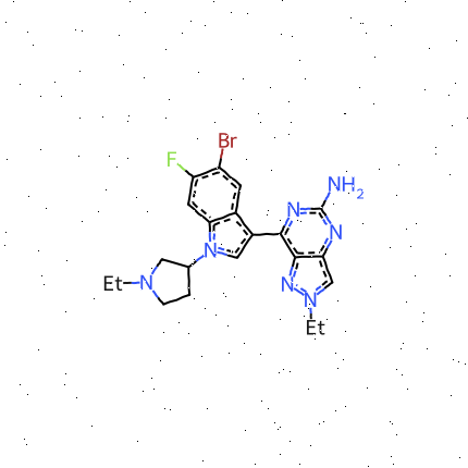 CCN1CCC(n2cc(-c3nc(N)nc4cn(CC)nc34)c3cc(Br)c(F)cc32)C1